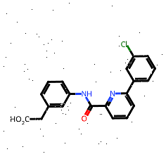 O=C(O)Cc1cccc(NC(=O)c2cccc(-c3cccc(Cl)c3)n2)c1